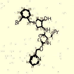 CC(C)C[C@H](NC(=O)OCc1ccccn1)C(=O)NC1CN(Cc2ccccc2Br)CC1O